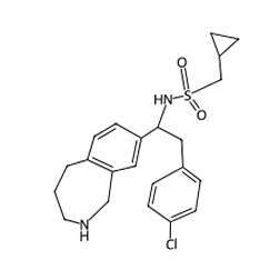 O=S(=O)(CC1CC1)NC(Cc1ccc(Cl)cc1)c1ccc2c(c1)CNCCC2